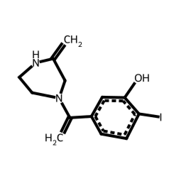 C=C1CN(C(=C)c2ccc(I)c(O)c2)CCN1